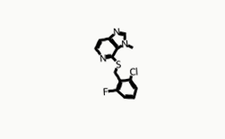 Cn1cnc2ccnc(SCc3c(F)cccc3Cl)c21